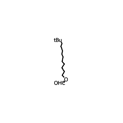 CC(C)(C)CCCCCCCCCCO[C]=O